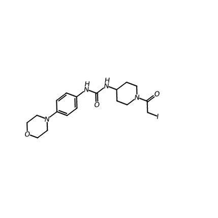 O=C(Nc1ccc(N2CCOCC2)cc1)NC1CCN(C(=O)CI)CC1